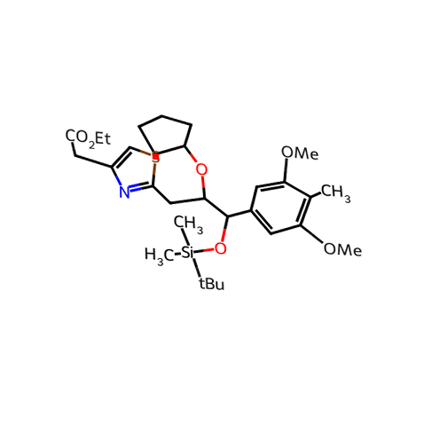 CCOC(=O)Cc1csc(CC(OC2CCCC2)C(O[Si](C)(C)C(C)(C)C)c2cc(OC)c(C)c(OC)c2)n1